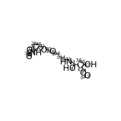 CC(=O)OCc1cc([C@@H](O)CNCCCCCCOCCOCc2cccc(NS(C)(=O)=O)c2)ccc1O